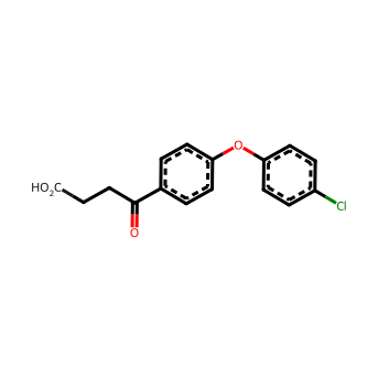 O=C(O)CCC(=O)c1ccc(Oc2ccc(Cl)cc2)cc1